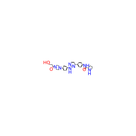 O=C(Nc1ccc(-c2ccnc(Nc3ccc(N4CCN(C(=O)CCO)CC4)cc3)n2)cc1)[C@H]1CCCN1